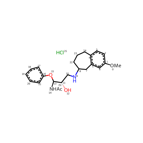 COc1ccc2c(c1)CC(NC[C@H](O)C(NC(C)=O)Oc1ccccc1)CCC2.Cl